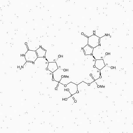 COP(=O)(OCC(COP(=O)(OC)O[C@H]1O[C@@H](n2cnc3c(=O)[nH]c(N)nc32)[C@H](O)[C@@H]1O)OP(=O)(O)O)O[C@H]1O[C@@H](n2cnc3c(=O)[nH]c(N)nc32)[C@H](O)[C@@H]1O